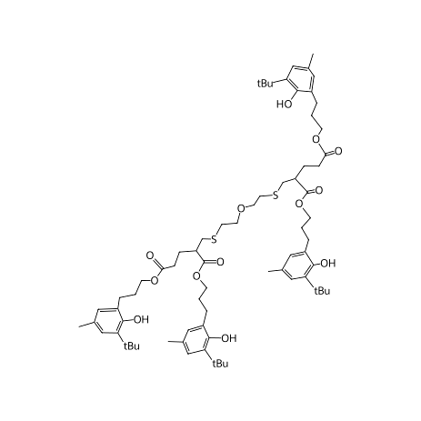 Cc1cc(CCCOC(=O)CCC(CSCCOCCSCC(CCC(=O)OCCCc2cc(C)cc(C(C)(C)C)c2O)C(=O)OCCCc2cc(C)cc(C(C)(C)C)c2O)C(=O)OCCCc2cc(C)cc(C(C)(C)C)c2O)c(O)c(C(C)(C)C)c1